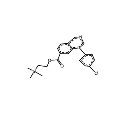 C[Si](C)(C)CCOC(=O)c1ccc2cncc(-c3ccc(Cl)cc3)c2c1